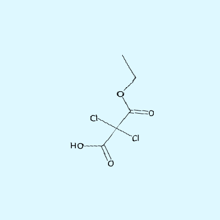 CCOC(=O)C(Cl)(Cl)C(=O)O